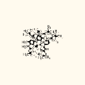 CC(=O)OC1[C@@H](NC(=O)OC(C)(C)C)C(O[C@H]2O[C@H](CNC(=O)OC(C)(C)C)CCC2NC(=O)OC(C)(C)C)C(OC(C)=O)[C@@H](O[C@H]2OC=C(C)[C@H](N(C)C(=O)OC(C)(C)C)C2OC(C)=O)[C@@H]1NC(=O)OC(C)(C)C